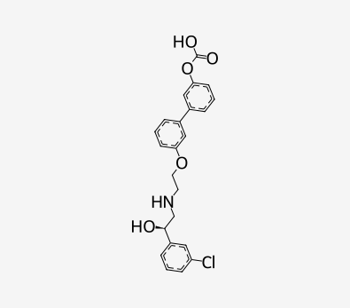 O=C(O)Oc1cccc(-c2cccc(OCCNC[C@H](O)c3cccc(Cl)c3)c2)c1